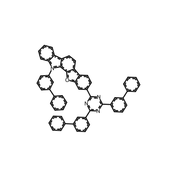 c1ccc(-c2cccc(-c3nc(-c4cccc(-c5ccccc5)c4)nc(-c4ccc5c(c4)oc4c5ccc5c6ccccc6n(-c6cccc(-c7ccccc7)c6)c54)n3)c2)cc1